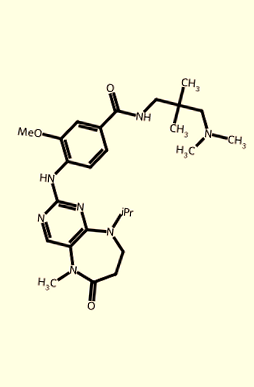 COc1cc(C(=O)NCC(C)(C)CN(C)C)ccc1Nc1ncc2c(n1)N(C(C)C)CCC(=O)N2C